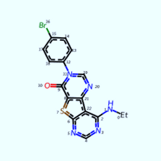 CCNc1ncnc2sc3c(=O)n(-c4ccc(Br)cc4)cnc3c12